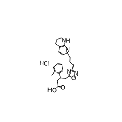 Cc1ccccc1C(CC(=O)O)Cc1nc(CCCc2ccc3c(n2)NCCC3)no1.Cl